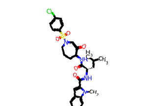 CC(C)C[C@H](NC(=O)c1cc2ccccc2n1C)C(=O)NC1CCCN(S(=O)(=O)c2ccc(Cl)cc2)CC1=O